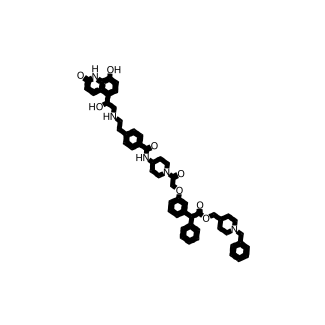 O=C(NC1CCN(C(=O)COc2cccc(C(C(=O)OCC3CCN(Cc4ccccc4)CC3)c3ccccc3)c2)CC1)c1ccc(CCNCC(O)c2ccc(O)c3[nH]c(=O)ccc23)cc1